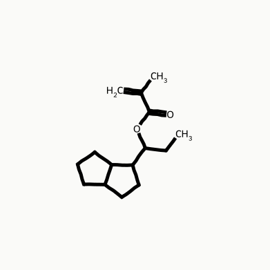 C=C(C)C(=O)OC(CC)C1CCC2CCCC21